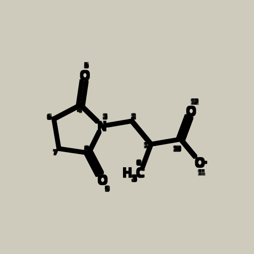 CC(CN1C(=O)CCC1=O)C([O])=O